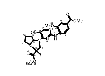 COC(=O)c1ccc(Nc2ncc(N=O)c(N(CC(C)(C)C(=O)OC(C)(C)C)C3CCCC3)n2)c(OC)c1